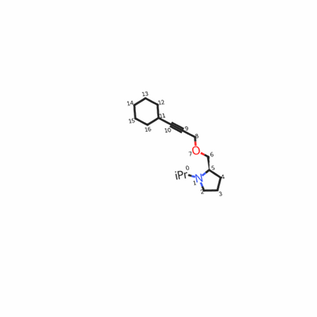 CC(C)N1CCC[C@@H]1COCC#CC1CCCCC1